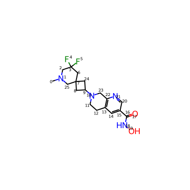 CN1CC(F)(F)CC2(CC(N3CCc4cc(C(=O)NO)cnc4C3)C2)C1